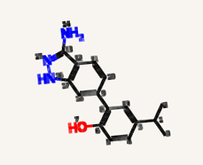 CC(C)c1ccc(O)c(-c2ccc3c(N)n[nH]c3c2)c1